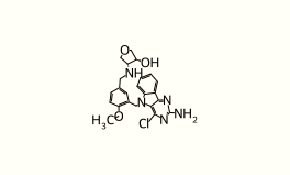 COc1ccc(CN[C@@H]2COC[C@H]2O)cc1Cn1c2ccccc2c2nc(N)nc(Cl)c21